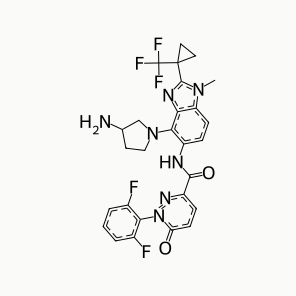 Cn1c(C2(C(F)(F)F)CC2)nc2c(N3CCC(N)C3)c(NC(=O)c3ccc(=O)n(-c4c(F)cccc4F)n3)ccc21